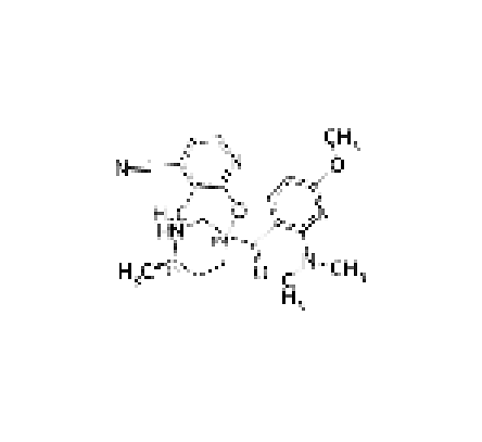 COc1ccc(C(=O)[C@@]2(Oc3nccc(C#N)c3C)CC[C@@H](C)NC2)c(N(C)C)n1